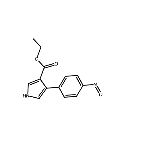 CCOC(=O)c1c[nH]cc1-c1ccc(N=O)cc1